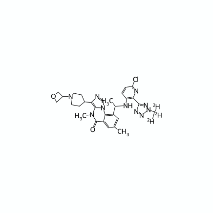 [2H]C([2H])([2H])n1nnc(-c2nc(Cl)ccc2NC(C)c2cc(C)cc3c(=O)n(C)c4c(C5CCN(C6COC6)CC5)ncn4c23)n1